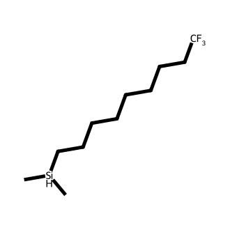 C[SiH](C)CCCCCCCCC(F)(F)F